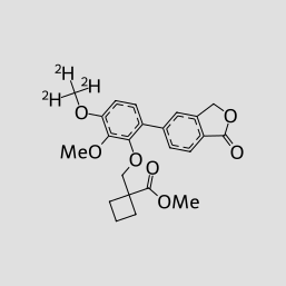 [2H]C([2H])([2H])Oc1ccc(-c2ccc3c(c2)COC3=O)c(OCC2(C(=O)OC)CCC2)c1OC